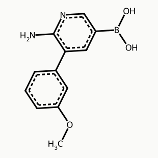 COc1cccc(-c2cc(B(O)O)cnc2N)c1